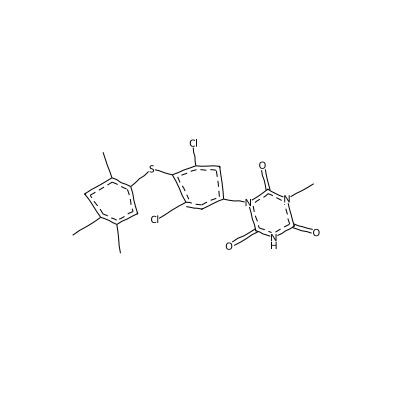 Cc1cc(C)c(Sc2c(Cl)cc(-n3c(=O)[nH]c(=O)n(C)c3=O)cc2Cl)cc1C